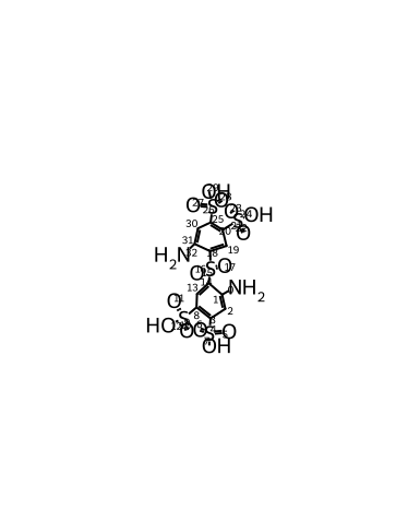 Nc1cc(S(=O)(=O)O)c(S(=O)(=O)O)cc1S(=O)(=O)c1cc(S(=O)(=O)O)c(S(=O)(=O)O)cc1N